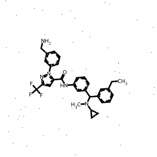 CCc1cccc(C(c2cccc(NC(=O)c3cc(C(F)(F)F)nn3-c3cccc(CN)c3)c2)N(C)C2CC2)c1